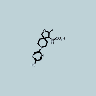 C[C@@H]1OCC2(CCN(c3cnc(S)cn3)CC2)[C@@H]1NC(=O)O